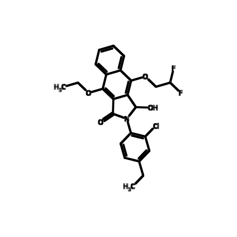 CCOc1c2c(c(OCC(F)F)c3ccccc13)C(O)N(c1ccc(CC)cc1Cl)C2=O